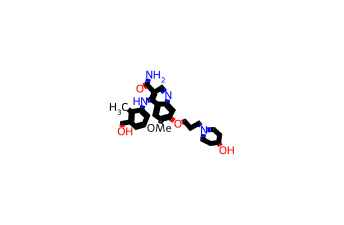 COc1cc2c(Nc3cccc(CO)c3C)c(C(N)=O)cnc2cc1OCCCN1CCC(O)CC1